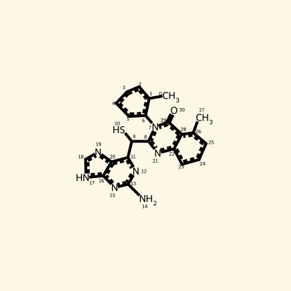 Cc1ccccc1-n1c(C(S)c2nc(N)nc3[nH]cnc23)nc2cccc(C)c2c1=O